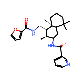 C[C@@H]1[C@H](NC(=O)c2cccnc2)CC2C(C)(C)CCC[C@]2(C)[C@H]1CNC(=O)c1ccco1